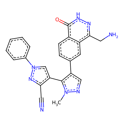 Cn1ncc(-c2ccc3c(=O)[nH]nc(CN)c3c2)c1-c1cn(-c2ccccc2)nc1C#N